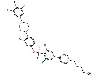 CCCCCc1ccc(-c2cc(F)c(C(F)(F)Oc3ccc(C4CCC(c5cc(F)c(F)c(F)c5)CC4)c(F)c3)c(F)c2)cc1